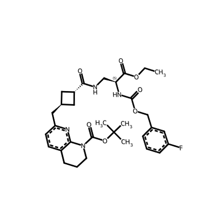 CCOC(=O)[C@H](CNC(=O)[C@H]1C[C@H](Cc2ccc3c(n2)N(C(=O)OC(C)(C)C)CCC3)C1)NC(=O)OCc1cccc(F)c1